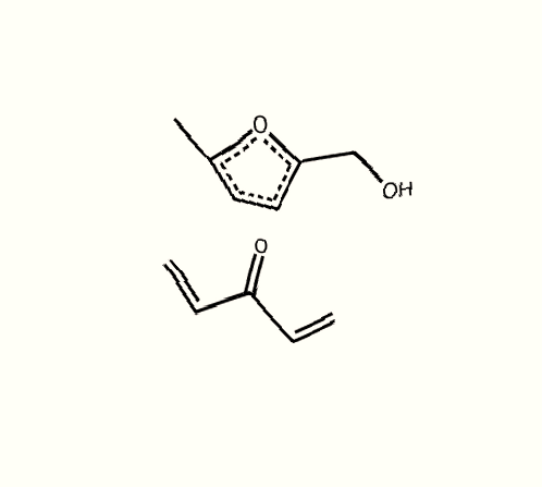 C=CC(=O)C=C.Cc1ccc(CO)o1